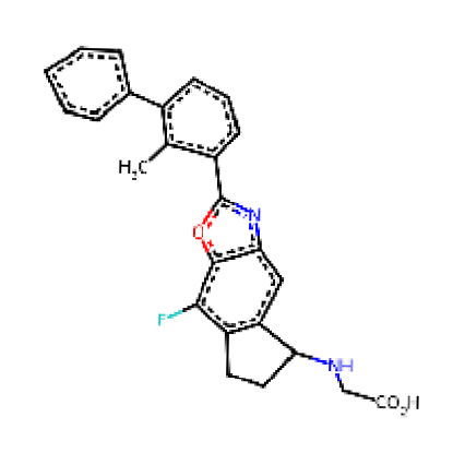 Cc1c(-c2ccccc2)cccc1-c1nc2cc3c(c(F)c2o1)CCC3NCC(=O)O